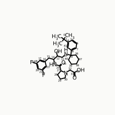 CC(C)(C)c1cccc(C2(NCC(O)C(Cc3cc(F)cc(F)c3)NC(=O)C3CCCN3CC(=O)O)CCCCC2)c1